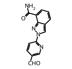 NC(=O)c1cccc2cn(-c3ccc(C=O)cn3)nc12